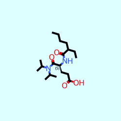 CCCCC(CC)C(=O)N[C@@H](CCC(=O)O)C(=O)N(C(C)C)C(C)C